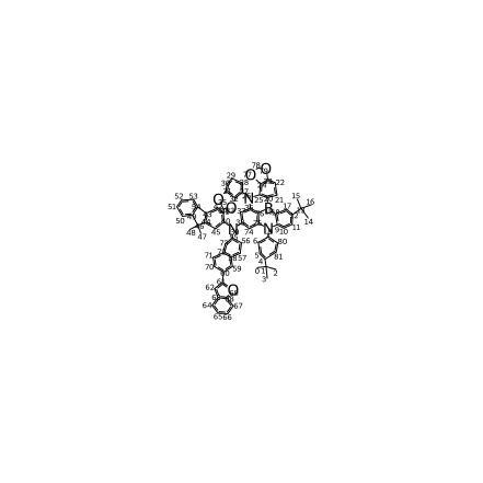 CC(C)(C)c1ccc(N2c3ccc(C(C)(C)C)cc3B3c4ccc5c(c4N(c4cccc6c4OCO6)c4cc(N(c6ccc7c(c6)C(C)(C)c6ccccc6-7)c6ccc7cc(-c8cc9ccccc9o8)ccc7c6)cc2c43)OCO5)cc1